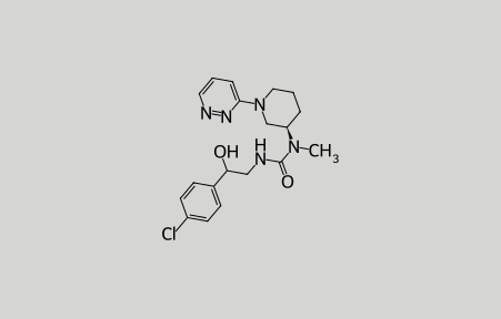 CN(C(=O)NCC(O)c1ccc(Cl)cc1)[C@@H]1CCCN(c2cccnn2)C1